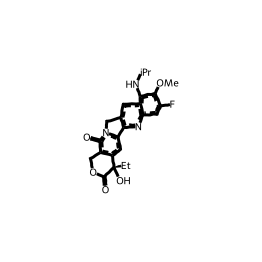 CC[C@@]1(O)C(=O)OCc2c1cc1n(c2=O)Cc2cc3c(NC(C)C)c(OC)c(F)cc3nc2-1